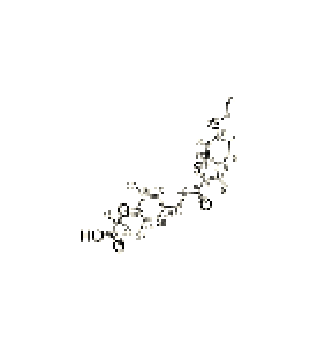 CCSc1ccc2c(C)c(C(=O)/C=C/c3cc(C)c(OC(C)(C)C(=O)O)c(C)c3)sc2c1